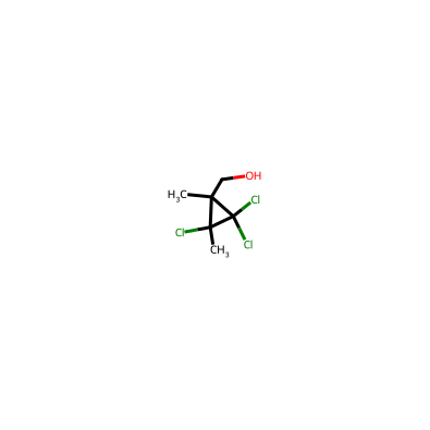 CC1(Cl)C(Cl)(Cl)C1(C)CO